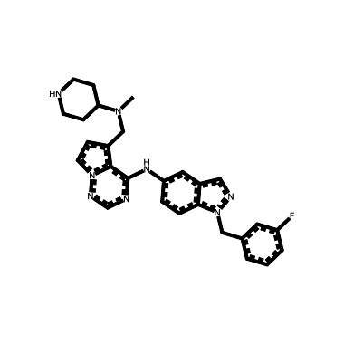 CN(Cc1ccn2ncnc(Nc3ccc4c(cnn4Cc4cccc(F)c4)c3)c12)C1CCNCC1